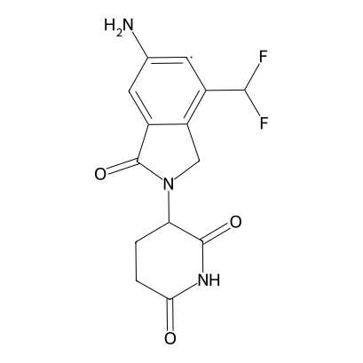 Nc1[c]c(C(F)F)c2c(c1)C(=O)N(C1CCC(=O)NC1=O)C2